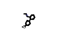 C/C=C/c1ccccc1-c1ccc(OC)cc1